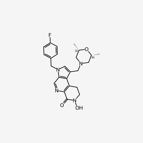 C[C@@H]1CN(Cc2cn(Cc3ccc(F)cc3)c3cnc4c(c23)CCN(O)C4=O)C[C@H](C)O1